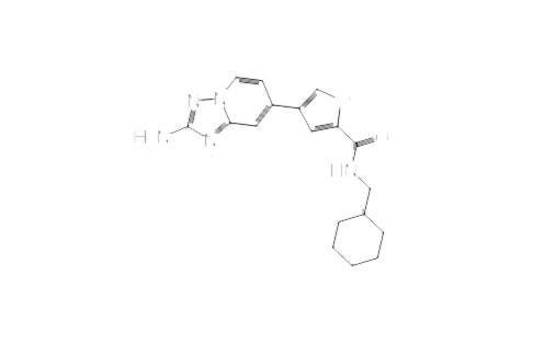 Nc1nc2cc(-c3csc(C(=O)NCC4CCCCC4)c3)ccn2n1